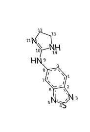 c1cc2nsnc2cc1NC1=NCCN1